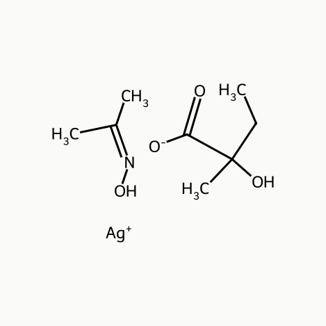 CC(C)=NO.CCC(C)(O)C(=O)[O-].[Ag+]